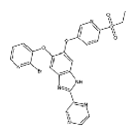 CCS(=O)(=O)c1ccc(Oc2cc3[nH]c(-c4cnccn4)nc3cc2Oc2cccnc2Br)cn1